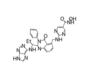 CC[C@H](Nc1ncnc2[nH]cnc12)c1nc2cccc(CNc3ncc(C(=O)NO)cn3)c2c(=O)n1-c1ccccc1